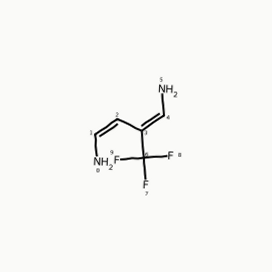 N/C=C\C(=C/N)C(F)(F)F